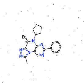 CC[C@@H]1c2nnc(C)n2-c2cnc(-c3ccccc3)nc2N1C1CCCC1